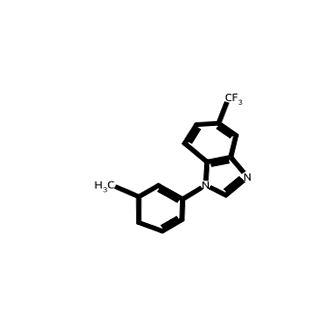 CC1C=C(n2cnc3cc(C(F)(F)F)ccc32)C=CC1